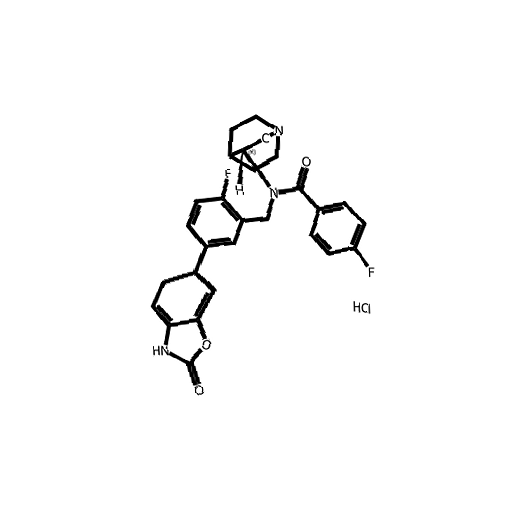 Cl.O=C(c1ccc(F)cc1)N(Cc1cc(C2C=c3oc(=O)[nH]c3=CC2)ccc1F)[C@H]1CN2CCC1CC2